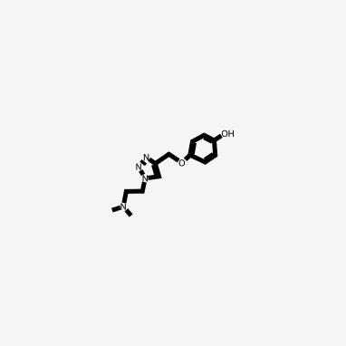 CN(C)CCn1cc(COc2ccc(O)cc2)nn1